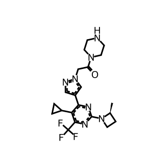 C[C@H]1CCN1c1nc(-c2cnn(CC(=O)N3CCNCC3)c2)c(C2CC2)c(C(F)(F)F)n1